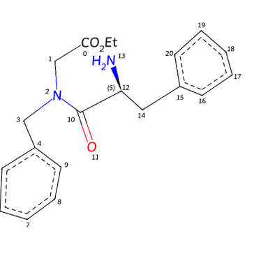 CCOC(=O)CN(Cc1ccccc1)C(=O)[C@@H](N)Cc1ccccc1